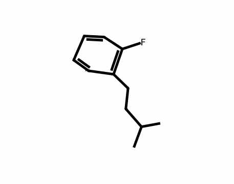 CC(C)CCc1[c]cccc1F